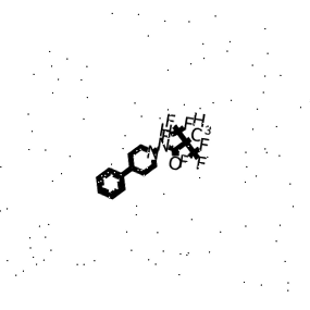 CC(C(=O)NN1CCC(c2ccccc2)CC1)(C(F)(F)F)C(F)(F)F